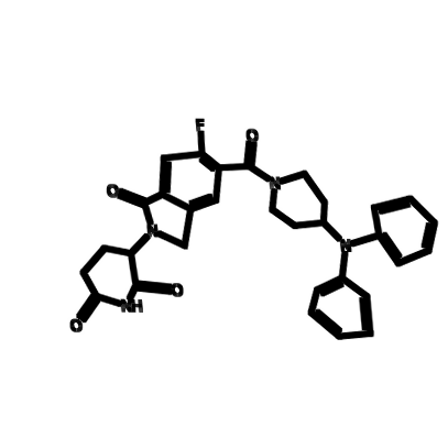 O=C1CCC(N2Cc3cc(C(=O)N4CCC(N(c5ccccc5)c5ccccc5)CC4)c(F)cc3C2=O)C(=O)N1